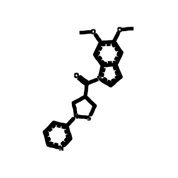 COc1cc2ccn(C(=O)C3CSN(c4cccnc4)C3)c2cc1OC